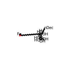 CCCCCCCCCCCCCC[C@@H](O)[C@@H](O)[C@H](CO[C@H]1O[C@H](CO)[C@H](O)[C@H](O)[C@H]1O)NC(=O)CCCCCCCCCCCCCCCCC12CC(F)(C1)C2